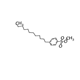 CCCCCCCCCCCCc1ccc(S(=O)(=O)OC)cc1